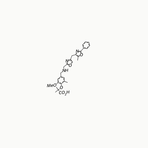 COc1cc(CNCc2nc(Cc3nc(-c4ccccc4)oc3C)co2)cc(C)c1OC(C)(C)C(=O)O